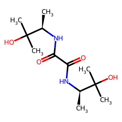 C[C@@H](NC(=O)C(=O)N[C@H](C)C(C)(C)O)C(C)(C)O